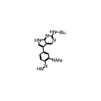 CC[C@H](C)Nc1ncc2c(-c3ccc(N=N)c(NC)c3)c[nH]c2n1